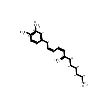 C=C(/C=C\C=C/Cc1ccc(C)c(C)c1)CCCCCN